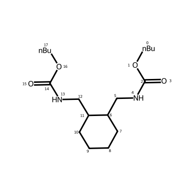 CCCCOC(=O)NCC1CCCCC1CNC(=O)OCCCC